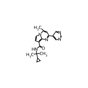 Cc1cc(-c2cncnc2)nc2c(C(=O)NC(C)(C)C3CC3)ccn12